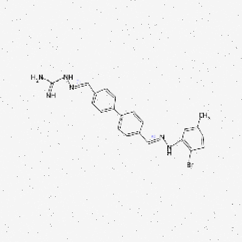 Cc1ccc(Br)c(N/N=C/c2ccc(-c3ccc(/C=N/NC(=N)N)cc3)cc2)c1